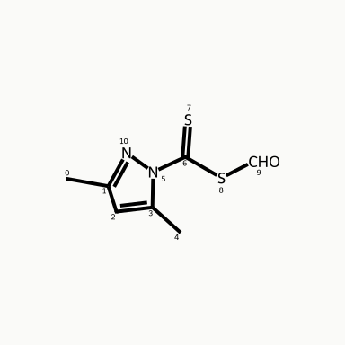 Cc1cc(C)n(C(=S)SC=O)n1